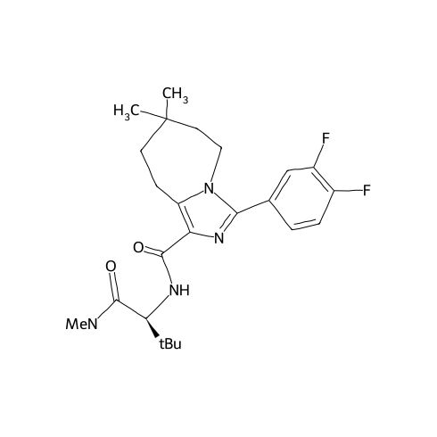 CNC(=O)[C@@H](NC(=O)c1nc(-c2ccc(F)c(F)c2)n2c1CCC(C)(C)CC2)C(C)(C)C